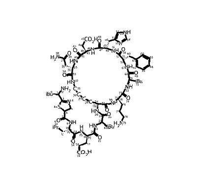 CCC(C)C(N)C1=NCC(C(=O)N[C@@H](CC(C)C)C(=O)N[C@H](CCC(=O)O)C(=O)NC(C(=O)N[C@H]2CCCCNC(=O)[C@H](CC(N)=O)NC(=O)[C@@H](CC(=O)O)NC(=O)[C@H](Cc3c[nH]cn3)NC(=O)[C@H](Cc3ccccc3)NC(=O)C(C(C)CC)NC(=O)[C@@H](CCCN)NC2=O)C(C)CC)S1